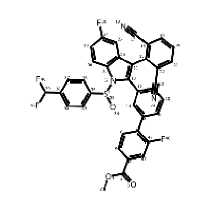 COC(=O)c1ccc(-c2cccc(-c3c(-c4c(C#N)cccc4C#N)c4cc(F)ccc4n3[S+]([O-])c3ccc(C(F)F)cc3)c2)c(F)c1